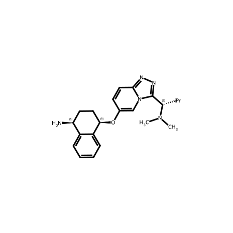 CC(C)[C@@H](c1nnc2ccc(O[C@@H]3CC[C@H](N)c4ccccc43)cn12)N(C)C